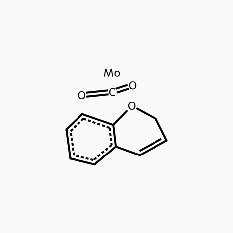 C1=Cc2ccccc2OC1.O=C=O.[Mo]